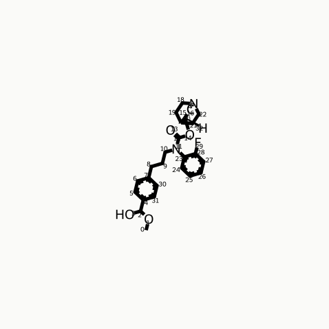 COC(O)c1ccc(CCCN(C(=O)O[C@H]2CN3CCC2CC3)c2ccccc2F)cc1